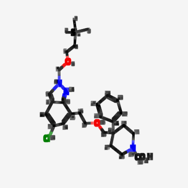 C[Si](C)(C)CCOCn1cc2cc(Cl)cc(CCOCC3(c4ccccc4)CCN(C(=O)O)CC3)c2n1